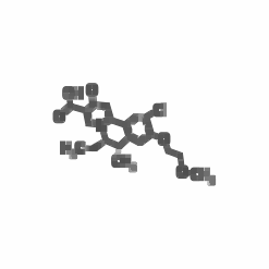 CC[C@@H]1[C@@H](C)c2cc(OCCOC)c(Cl)cc2-c2cc(=O)c(C(=O)O)cn21